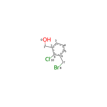 OCc1cccc(CBr)c1Cl